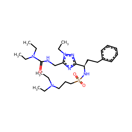 CCN(CC)CCCS(=O)(=O)N[C@H](CCc1ccccc1)c1nc(CNC(=O)N(CC)CC)n(CC)n1